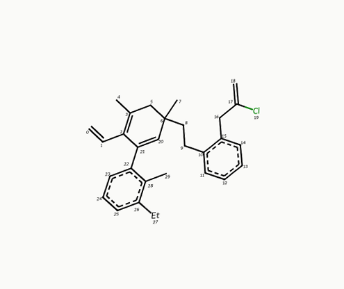 C=CC1=C(C)CC(C)(CCc2ccccc2CC(=C)Cl)C=C1c1cccc(CC)c1C